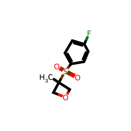 CC1(S(=O)(=O)c2ccc(F)cc2)COC1